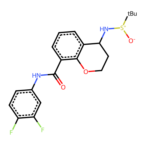 CC(C)(C)[S+]([O-])NC1CCOc2c(C(=O)Nc3ccc(F)c(F)c3)cccc21